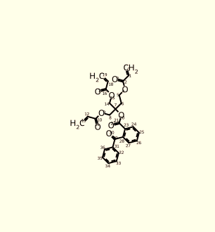 C=CC(=O)OCCC(COC(=O)C=C)(COC(=O)C=C)OC(=O)c1ccccc1C(=O)c1ccccc1